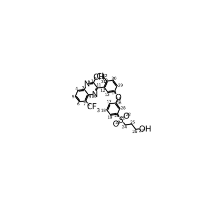 Cc1nc2cccc(C(F)(F)F)c2nc1-c1cc(Oc2cccc(S(=O)(=O)CCCO)c2)ccc1Cl